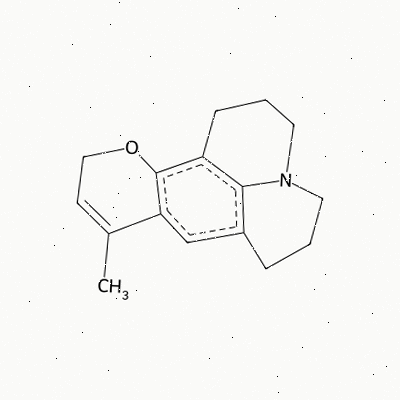 CC1=CCOc2c1cc1c3c2CCCN3CCC1